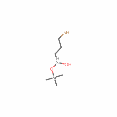 C[Si](C)(C)O[SiH](O)CCCS